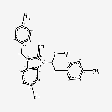 Cc1ccc(CC(CO)n2c(=N)n(Cc3ccc(C)cc3)c3ccc(C(F)(F)F)cc32)cc1